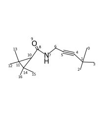 CC(C)(C)C#CCNC(=O)C1C(C)(C)C1(C)C